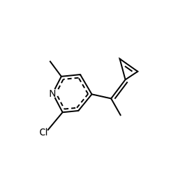 CC(=C1C=C1)c1cc(C)nc(Cl)c1